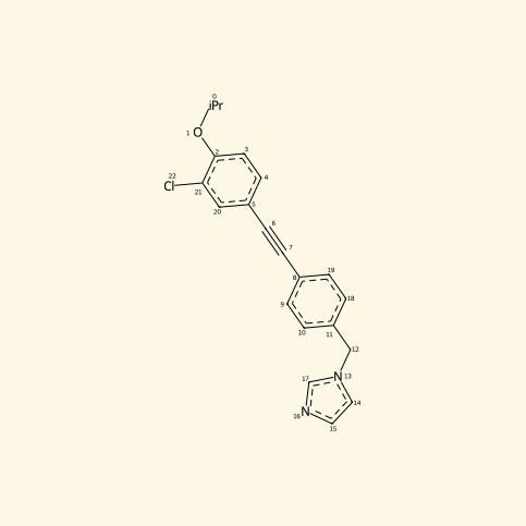 CC(C)Oc1ccc(C#Cc2ccc(Cn3ccnc3)cc2)cc1Cl